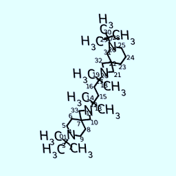 CC(C)(C)N1CCC2(CC1)CN(C(C)(C)CCC(C)(C)N1CC3(CCCN(C(C)(C)C)C3)C1)C2